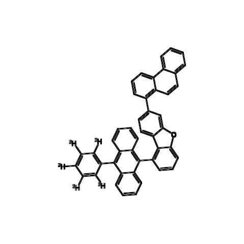 [2H]c1c([2H])c([2H])c(-c2c3ccccc3c(-c3cccc4oc5cc(-c6cccc7c6ccc6ccccc67)ccc5c34)c3ccccc23)c([2H])c1[2H]